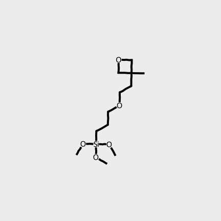 CO[Si](CCCOCCC1(C)COC1)(OC)OC